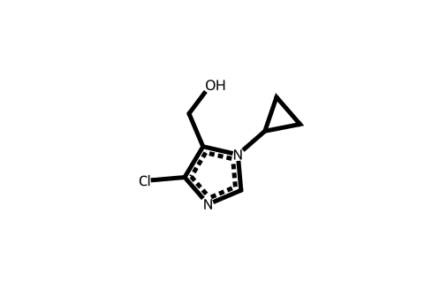 OCc1c(Cl)ncn1C1CC1